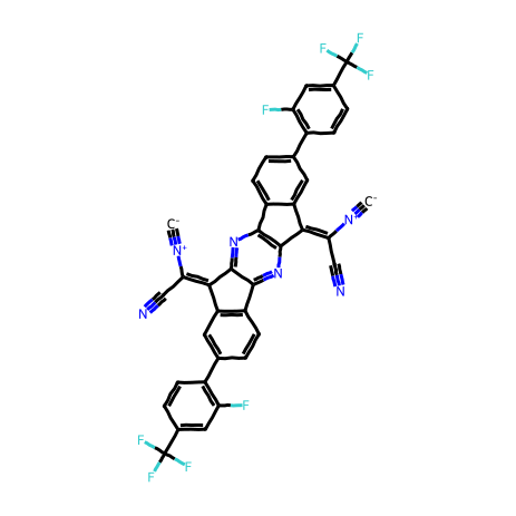 [C-]#[N+]/C(C#N)=C1/c2cc(-c3ccc(C(F)(F)F)cc3F)ccc2-c2nc3c(nc21)-c1ccc(-c2ccc(C(F)(F)F)cc2F)cc1/C3=C(/C#N)[N+]#[C-]